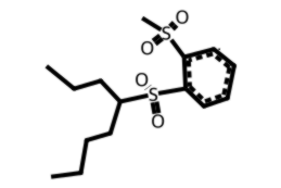 CCCCC(CCC)S(=O)(=O)c1ccc[c]c1S(C)(=O)=O